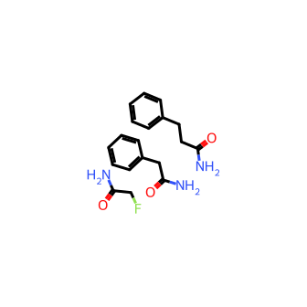 NC(=O)CCc1ccccc1.NC(=O)CF.NC(=O)Cc1ccccc1